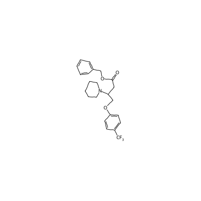 O=C(CC(COc1ccc(C(F)(F)F)cc1)N1CCCCC1)OCc1ccccc1